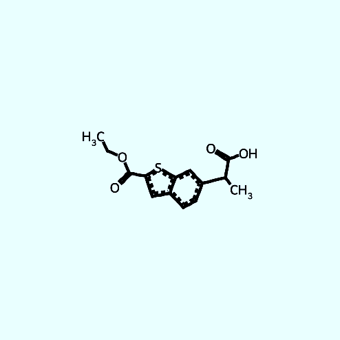 CCOC(=O)c1cc2ccc(C(C)C(=O)O)cc2s1